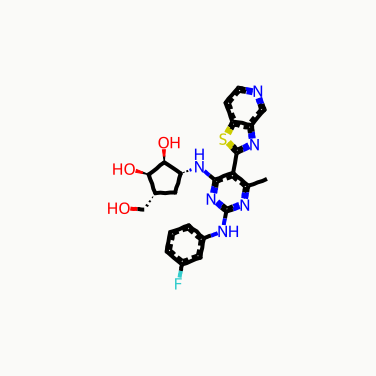 Cc1nc(Nc2cccc(F)c2)nc(N[C@@H]2C[C@H](CO)[C@@H](O)[C@H]2O)c1-c1nc2cnccc2s1